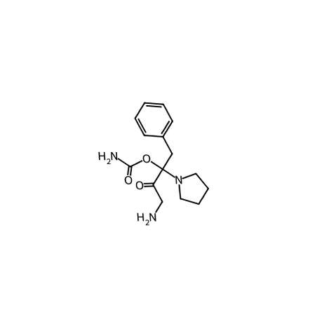 NCC(=O)C(Cc1ccccc1)(OC(N)=O)N1CCCC1